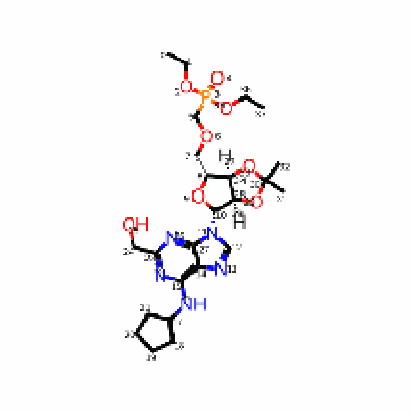 CCOP(=O)(COC[C@H]1O[C@@H](n2cnc3c(NC4CCCC4)nc(CO)nc32)[C@@H]2OC(C)(C)O[C@@H]21)OCC